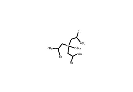 CCCCC(CC)C[Si](CC(CC)CCCC)(CC(CC)CCCC)OC